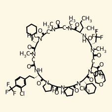 CC[C@H](C)[C@@H]1NC(=O)[C@H](CC(F)(F)F)N(C)C(=O)C[C@@H](C(=O)N2C3CCC2COC3)N(C)C(=O)[C@H](C2CCCCC2)N(C)C(=O)C2(CCCC2)NC(=O)[C@@H]2CCCN2C(=O)[C@H](CCc2ccc(C(F)(F)F)c(Cl)c2)NC(=O)CN(C)C(=O)[C@H](CC2CCCCC2)N(C)C(=O)CN(C)C(=O)CN(C)C1=O